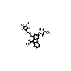 CCc1nc(CCOc2cc(OC(=O)N(C)C)cn3c2c(C(N)=O)c2ccccc23)cn1CC